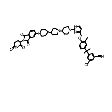 Cc1cc(C(C)(C)c2cc(Cl)cc(C#N)c2)ccc1OCc1ccnc(N2CCC(N3CCC(C4CCN(c5ccc6c(c5)C(=O)N(C5CCC(=O)NC5=O)C6=O)CC4)CC3)CC2)n1